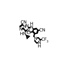 N#Cc1cc(CN2CCNC(C(F)(F)F)C2)c(Cl)c(Nc2nc(NC3CC3)c3ncc(C#N)n3n2)c1